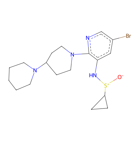 [O-][S+](Nc1cc(Br)cnc1N1CCC(N2CCCCC2)CC1)C1CC1